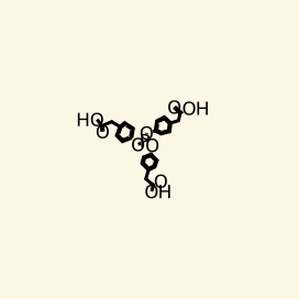 O=C(O)Cc1ccc(OP(Oc2ccc(CC(=O)O)cc2)Oc2ccc(CC(=O)O)cc2)cc1